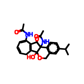 CC(=O)NC1=CC=CCC2=C1C(=O)C1(NC(C)=O)c3ccc(C(C)C)cc3COC21O